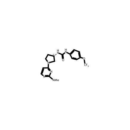 CNc1nccc(N2CC[C@H](NC(=O)Nc3ccc(OC(F)(F)F)cc3)C2)n1